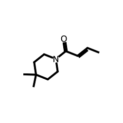 CC=CC(=O)N1CCC(C)(C)CC1